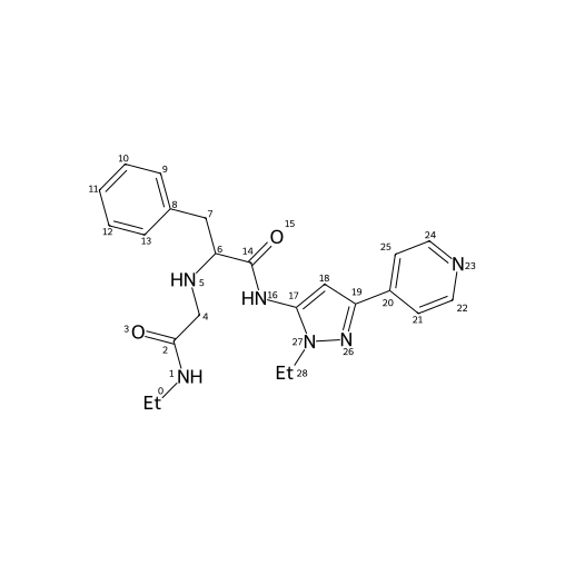 CCNC(=O)CNC(Cc1ccccc1)C(=O)Nc1cc(-c2ccncc2)nn1CC